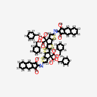 O=C(OCc1ccccc1)C1(C(=O)OCc2ccccc2)c2cc(N=c3c(=O)c4cc5ccccc5cc4c3=O)sc2-c2sc3c4c(sc3c21)-c1sc(N=c2c(=O)c3cc5ccccc5cc3c2=O)cc1C4(C(=O)OCc1ccccc1)C(=O)OCc1ccccc1